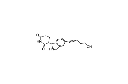 O=C1CCC(C2NCc3cc(C#CCCCO)ccc32)C(=O)N1